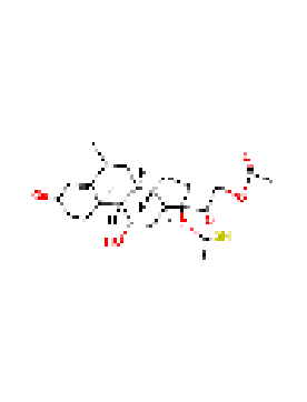 CC(=O)OCC(=O)[C@@]1(OC(C)S)CC[C@H]2[C@@H]3CC(C)C4=CC(=O)CC[C@]4(C)[C@H]3C(O)C[C@@]21C